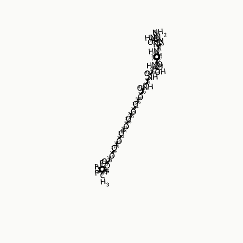 Cc1c(F)c(F)c(F)c(OC(=O)CCOCCOCCOCCOCCOCCOCCOCCOCCOCCC(=O)NCCCNC(=O)CC[C@H](NC(=O)c2ccc(NCc3cnc4nc(N)[nH]c(=O)c4n3)cc2)C(=O)O)c1F